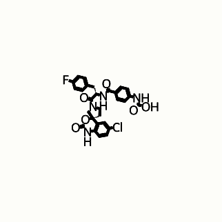 O=C(O)Nc1ccc(C(=O)N[C@@H](Cc2ccc(F)cc2)C(=O)N2CC[C@@]3(C2)OC(=O)Nc2ccc(Cl)cc23)cc1